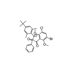 COc1c(Cl)cc(Br)c(OC)c1C(=O)P(=O)(C(=O)c1c(C)cc(C(C)(C)C)cc1C)c1ccccc1